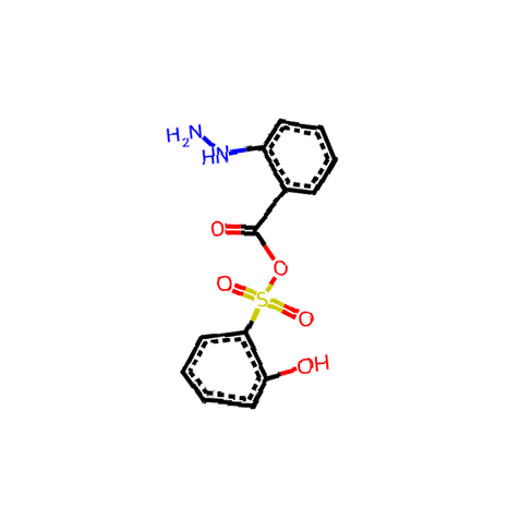 NNc1ccccc1C(=O)OS(=O)(=O)c1ccccc1O